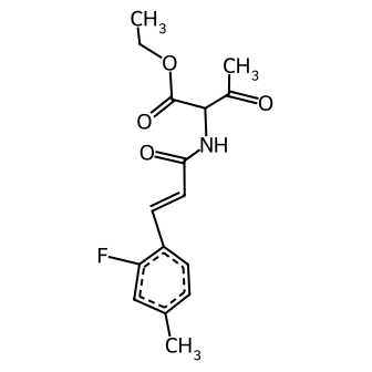 CCOC(=O)C(NC(=O)/C=C/c1ccc(C)cc1F)C(C)=O